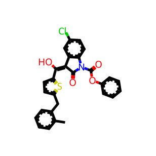 Cc1ccccc1Cc1ccc(C(O)=C2C(=O)N(C(=O)Oc3ccccc3)c3ccc(Cl)cc32)s1